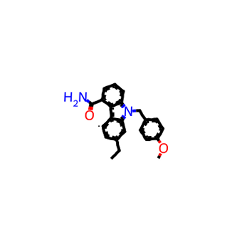 CCc1c[c]c2c3c(C(N)=O)cccc3n(Cc3ccc(OC)cc3)c2c1